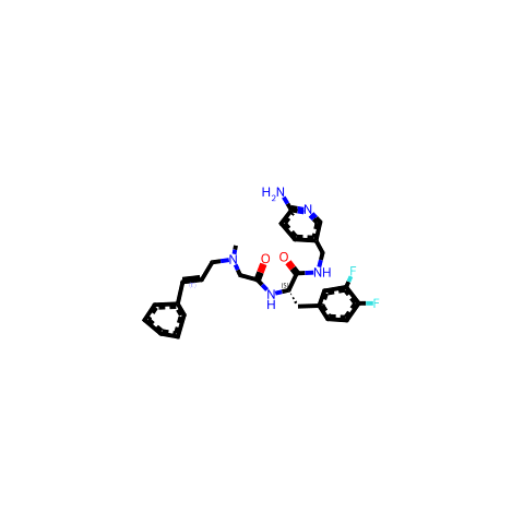 CN(C/C=C/c1ccccc1)CC(=O)N[C@@H](Cc1ccc(F)c(F)c1)C(=O)NCc1ccc(N)nc1